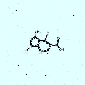 Cc1cn(C)c2ncc(C(=O)O)c(Cl)c12